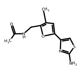 CC(=O)NCc1oc(-c2csc(N)n2)cc1C